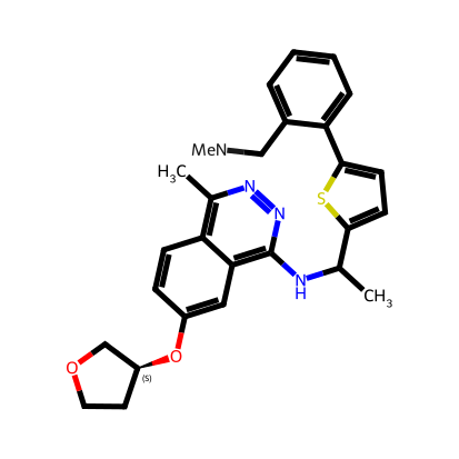 CNCc1ccccc1-c1ccc(C(C)Nc2nnc(C)c3ccc(O[C@H]4CCOC4)cc23)s1